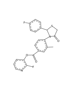 Cc1cc(C(=O)Oc2cccnc2F)ccc1N1C(=O)CSC1c1ccc(F)cc1